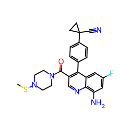 CSN1CCN(C(=O)c2cnc3c(N)cc(F)cc3c2-c2ccc(C3(C#N)CC3)cc2)CC1